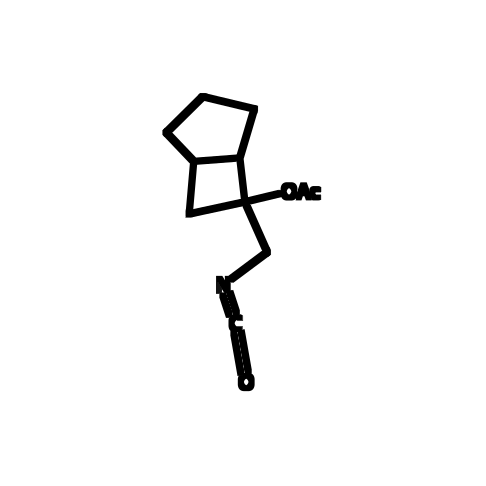 CC(=O)OC1(CN=C=O)CC2CCCC21